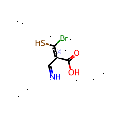 N=C/C(C(=O)O)=C(\S)Br